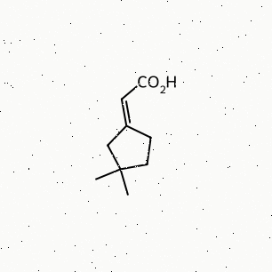 CC1(C)CCC(=CC(=O)O)C1